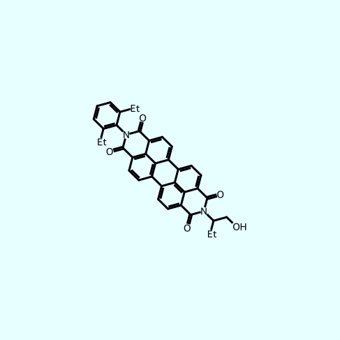 CCc1cccc(CC)c1N1C(=O)c2ccc3c4ccc5c6c(ccc(c7ccc(c2c37)C1=O)c64)C(=O)N(C(CC)CO)C5=O